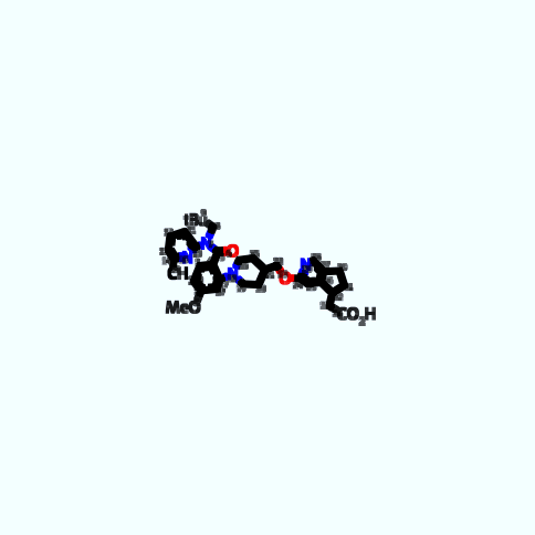 COc1ccc(C(=O)N(CC(C)(C)C)c2cccc(C)n2)c(N2CCC(COc3cc4c(cn3)CCC4CC(=O)O)CC2)c1